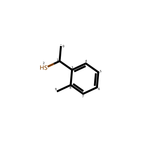 [CH2]C(S)c1ccccc1C